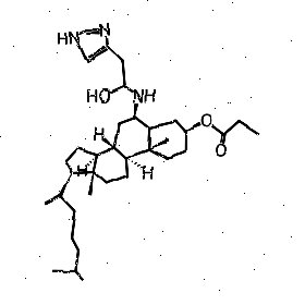 CCC(=O)O[C@H]1CC[C@@]2(C)C(C1)[C@H](NC(O)Cc1c[nH]cn1)C[C@H]1[C@@H]3CC[C@H](C(C)CCCC(C)C)[C@@]3(C)CC[C@@H]12